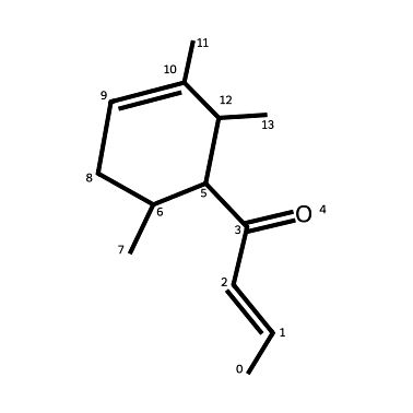 CC=CC(=O)C1C(C)CC=C(C)C1C